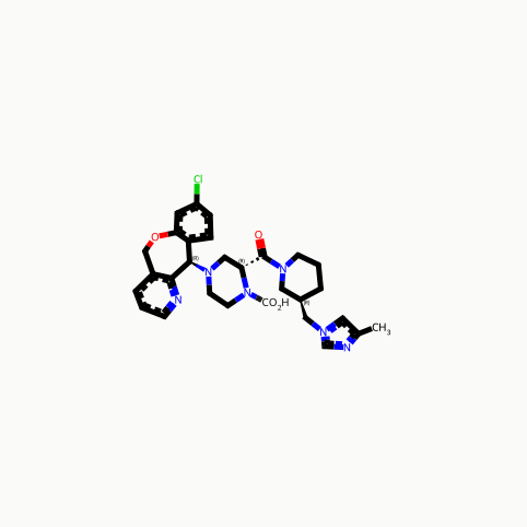 Cc1cn(C[C@@H]2CCCN(C(=O)[C@H]3CN([C@@H]4c5ccc(Cl)cc5OCc5cccnc54)CCN3C(=O)O)C2)cn1